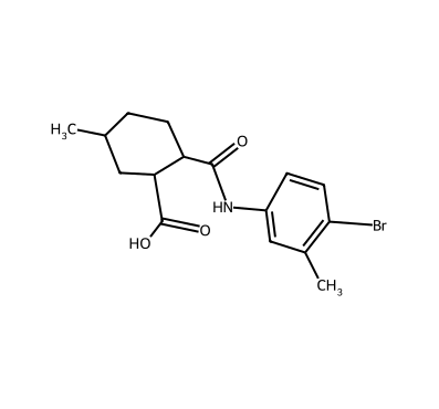 Cc1cc(NC(=O)C2CCC(C)CC2C(=O)O)ccc1Br